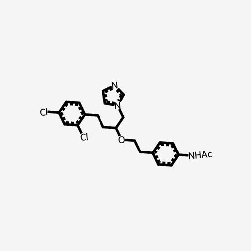 CC(=O)Nc1ccc(CCOC(CCc2ccc(Cl)cc2Cl)Cn2ccnc2)cc1